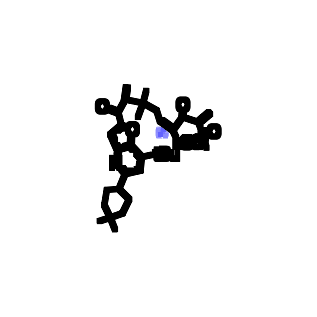 C=C(C(=O)c1cc2nc(C3CCC(C)(C)CC3)cc(C(C)(C)C)c2o1)C(C)(C)C/C=C(/CCCC)C(=O)C(=C)S(C)(=O)=O